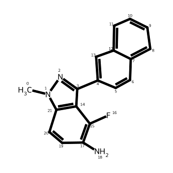 Cn1nc(-c2ccc3ccccc3c2)c2c(F)c(N)ccc21